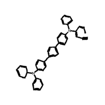 C#C/C=C(\C=C/C)N(c1ccccc1)c1ccc(-c2ccc(-c3ccc(N(c4ccccc4)C4C=CC=CC4)cc3)cc2)cc1